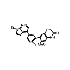 CCn1cnc2c(-c3ccc(F)c(-c4cc5c(cc4OC)NC(=O)CO5)c3)cnnc21